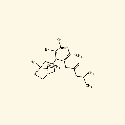 Cc1nc(C)c(CC(=O)OC(C)C)c(N2CC3CCC(C)(C2)C3(C)C)c1Br